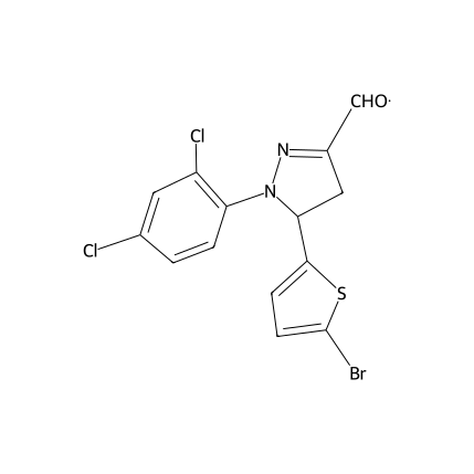 O=[C]C1=NN(c2ccc(Cl)cc2Cl)C(c2ccc(Br)s2)C1